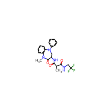 CC(C(=O)NCC(F)(F)F)C(=O)NC1CN(c2ccccc2)c2ccccc2N(C)C1=O